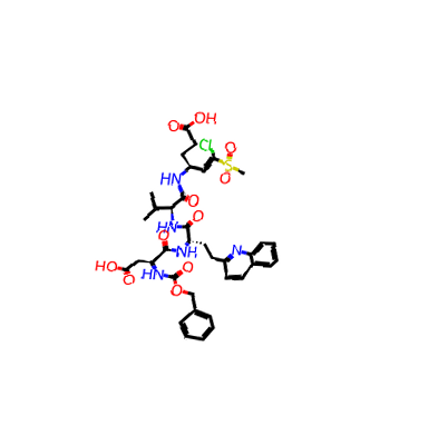 CC(C)[C@H](NC(=O)[C@H](CCc1ccc2ccccc2n1)NC(=O)[C@H](CC(=O)O)NC(=O)OCc1ccccc1)C(=O)N[C@H](/C=C(\Cl)S(C)(=O)=O)CCC(=O)O